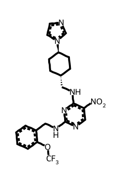 O=[N+]([O-])c1cnc(NCc2ccccc2OC(F)(F)F)nc1NC[C@H]1CC[C@H](n2ccnc2)CC1